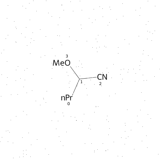 CCCC(C#N)OC